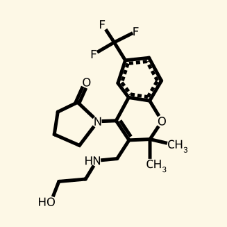 CC1(C)Oc2ccc(C(F)(F)F)cc2C(N2CCCC2=O)=C1CNCCO